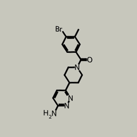 Cc1cc(C(=O)N2CCC(c3ccc(N)nn3)CC2)ccc1Br